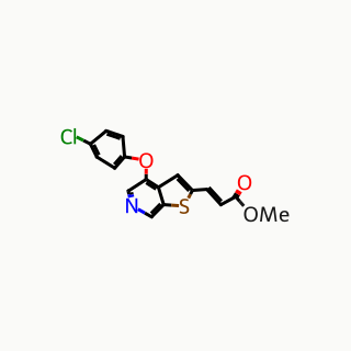 COC(=O)C=Cc1cc2c(Oc3ccc(Cl)cc3)cncc2s1